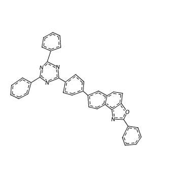 c1ccc(-c2nc(-c3ccccc3)nc(-c3ccc(-c4ccc5c(ccc6oc(-c7ccccc7)nc65)c4)cc3)n2)cc1